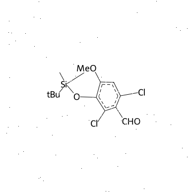 COc1cc(Cl)c(C=O)c(Cl)c1O[Si](C)(C)C(C)(C)C